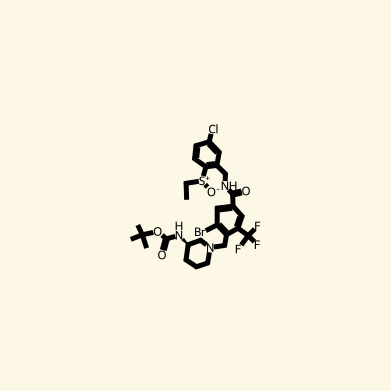 CC[S+]([O-])c1ccc(Cl)cc1CNC(=O)c1cc(Br)c(CN2CCC[C@@H](NC(=O)OC(C)(C)C)C2)c(C(F)(F)F)c1